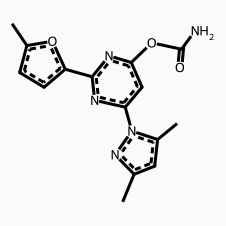 Cc1cc(C)n(-c2cc(OC(N)=O)nc(-c3ccc(C)o3)n2)n1